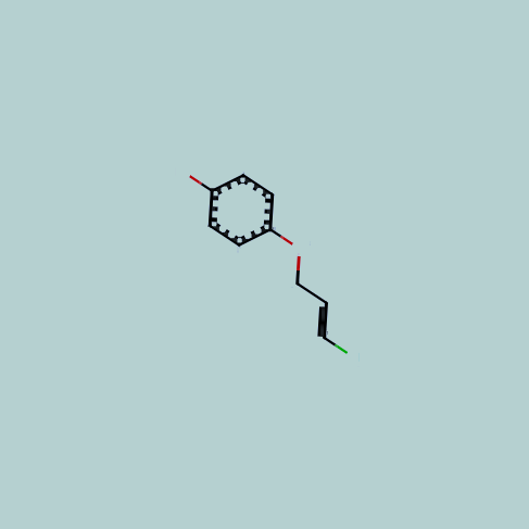 Oc1ccc(OCC=CCl)cc1